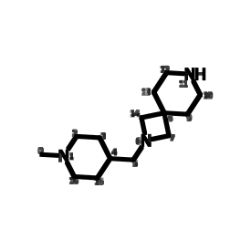 CN1CCC(CN2CC3(CCNCC3)C2)CC1